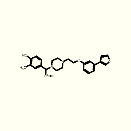 CCCCCC(c1ccc(C#N)c(C)c1)N1CCN(CCOc2cccc(-c3ccsc3)c2)CC1